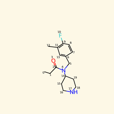 CCC(=O)N(Cc1ccc(F)c(C)c1)C1CCNCC1